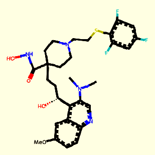 COc1ccc2ncc(N(C)C)c([C@H](O)CCC3(C(=O)NO)CCN(CCSc4c(F)cc(F)cc4F)CC3)c2c1